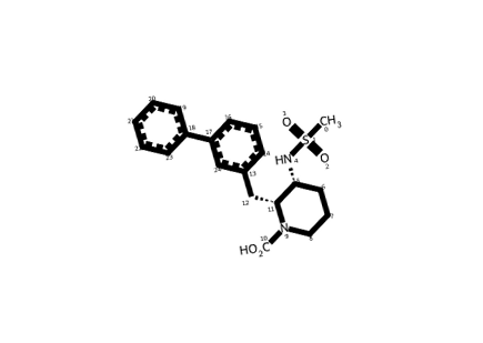 CS(=O)(=O)N[C@@H]1CCCN(C(=O)O)[C@@H]1Cc1cccc(-c2ccccc2)c1